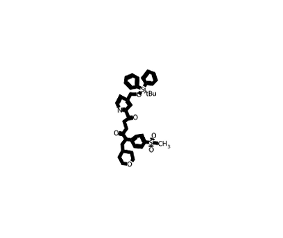 CC(C)(C)[Si](OCc1ccnc(C(=O)CCC(=O)C(CC2CCOCC2)c2ccc(S(C)(=O)=O)cc2)c1)(c1ccccc1)c1ccccc1